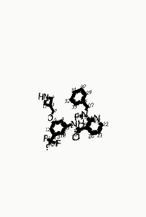 O=C(Nc1cc(OCC2CNC2)cc(C(F)(F)F)c1)c1cccnc1N(F)Cc1ccccc1